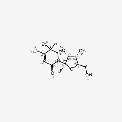 CCC1(C)CN([C@]2(F)O[C@H](CO)[C@@H](O)[C@H]2O)C(=O)N=C1N